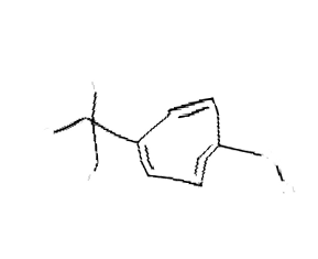 FC(F)(F)c1ccc([O][Zr])cc1